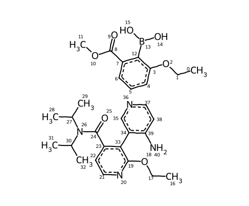 CCOc1cccc(C(=O)OC)c1B(O)O.CCOc1nccc(C(=O)N(C(C)C)C(C)C)c1-c1cnccc1N